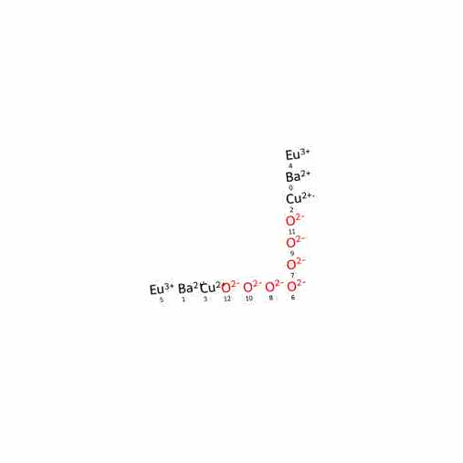 [Ba+2].[Ba+2].[Cu+2].[Cu+2].[Eu+3].[Eu+3].[O-2].[O-2].[O-2].[O-2].[O-2].[O-2].[O-2]